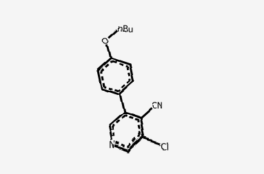 CCCCOc1ccc(-c2cncc(Cl)c2C#N)cc1